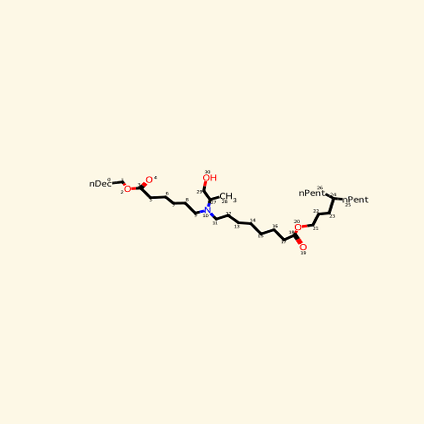 CCCCCCCCCCCOC(=O)CCCCCN(CCCCCCCC(=O)OCCCC(CCCCC)CCCCC)C(C)CO